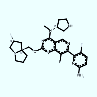 CN(c1nc(OC[C@@]23CCCN2C[C@H](F)C3)nc2c(F)c(-c3nc(N)ccc3F)ncc12)[C@@H]1CCNC1